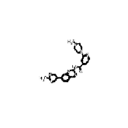 Cc1ncc(-c2ccc3cnc(NC(=O)c4ccnc(N5CCN(C)CC5)c4)nc3c2)cn1